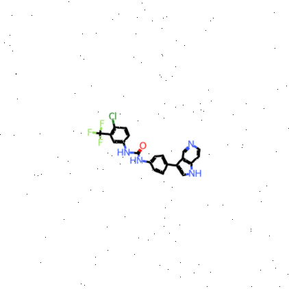 O=C(Nc1ccc(-c2c[nH]c3ccncc23)cc1)Nc1ccc(Cl)c(C(F)(F)F)c1